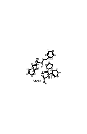 CN[C@@H](C)C(=O)N[C@H](C(=O)N1CCC[C@H]1CN(CCc1ccccc1)C(=O)c1cn2cccnc2n1)C1=CCCCC1